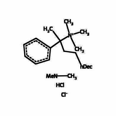 CCCCCCCCCCCCC(C)(c1ccccc1)[N+](C)(C)C.CNC.Cl.[Cl-]